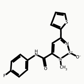 CN1C(C(=O)Nc2ccc(F)cc2)=CC(c2cccs2)=N[S+]1[O-]